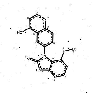 CCOc1ccnc2[nH]c(=O)n(-c3ccc4nccc(O)c4c3)c12